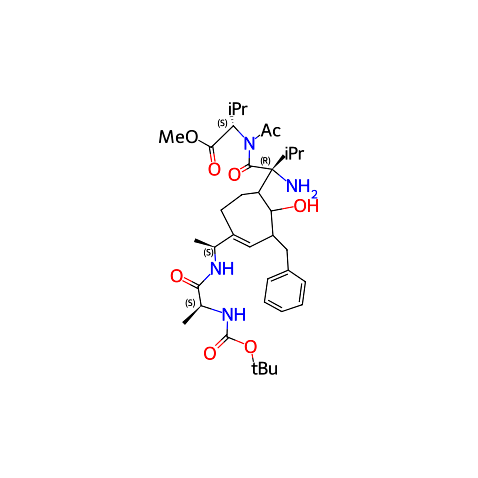 COC(=O)[C@H](C(C)C)N(C(C)=O)C(=O)[C@@](N)(C(C)C)C1CCC([C@H](C)NC(=O)[C@H](C)NC(=O)OC(C)(C)C)=CC(Cc2ccccc2)C1O